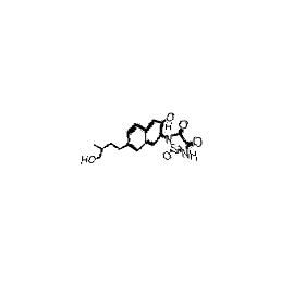 CC(CO)CCc1ccc2cc(O)c(-n3c(=O)c(=O)[nH][s+]3[O-])cc2c1